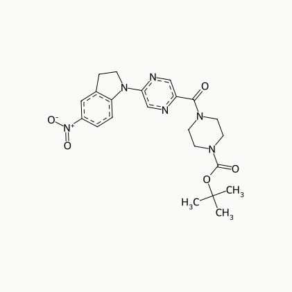 CC(C)(C)OC(=O)N1CCN(C(=O)c2cnc(N3CCc4cc([N+](=O)[O-])ccc43)cn2)CC1